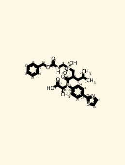 CC(C)CC(CP(=O)(O)CNC(=O)OCc1ccccc1)C(=O)N(c1ccc(-c2nccs2)cc1)[C@@H](C)C(=O)O